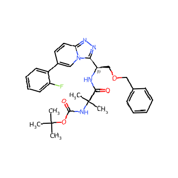 CC(C)(C)OC(=O)NC(C)(C)C(=O)N[C@H](COCc1ccccc1)c1nnc2ccc(-c3ccccc3F)cn12